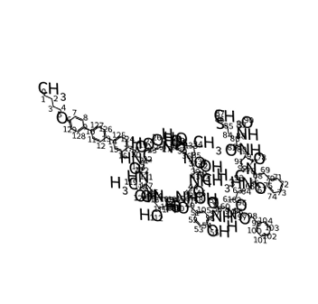 CCCCCOc1ccc(-c2ccc(-c3ccc(C(=O)N[C@H]4C[C@@H](O)[C@@H](O)NC(=O)[C@@H]5[C@@H](O)[C@@H](C)CN5C(=O)[C@H]([C@@H](C)O)NC(=O)[C@H]([C@H](O)[C@@H](O)c5ccc(O)c(NC(=O)[C@H](CCCCNC(=O)[C@H](Cc6ccccc6)N6C(=O)[C@@H](NC(=O)[C@H](CCSC)NC=O)CC6C)NC(=O)OCc6ccccc6)c5)NC(=O)[C@@H]5C[C@@H](O)CN5C(=O)[C@H]([C@@H](C)O)NC4=O)cc3)cc2)cc1